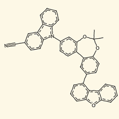 CC1(C)Oc2cc(-n3c4ccccc4c4cc(C#N)ccc43)ccc2-c2cc(-c3cccc4oc5ccccc5c34)ccc2O1